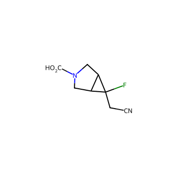 N#CCC1(F)C2CN(C(=O)O)CC21